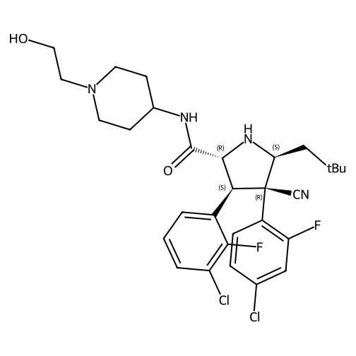 CC(C)(C)C[C@@H]1N[C@@H](C(=O)NC2CCN(CCO)CC2)[C@H](c2cccc(Cl)c2F)[C@@]1(C#N)c1ccc(Cl)cc1F